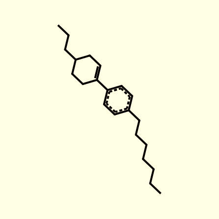 CCCCCCCc1ccc(C2=CCC(CCC)CC2)cc1